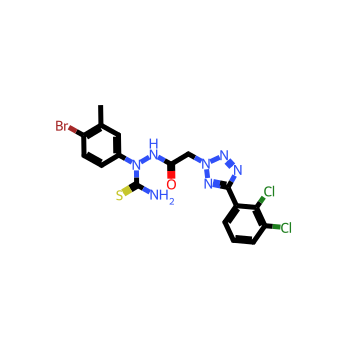 Cc1cc(N(NC(=O)Cn2nnc(-c3cccc(Cl)c3Cl)n2)C(N)=S)ccc1Br